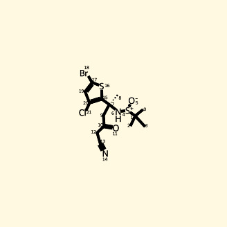 CC(C)(C)[S+]([O-])N[C@@](C)(CC(=O)CC#N)c1sc(Br)cc1Cl